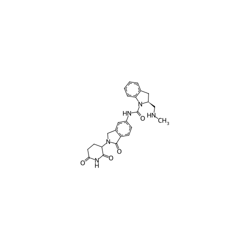 CNC[C@@H]1Cc2ccccc2N1C(=O)Nc1ccc2c(c1)CN(C1CCC(=O)NC1=O)C2=O